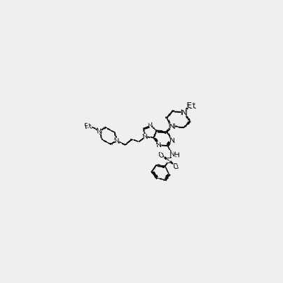 CCN1CCN(CCCn2cnc3c(N4CCN(CC)CC4)nc(NS(=O)(=O)c4ccccc4)nc32)CC1